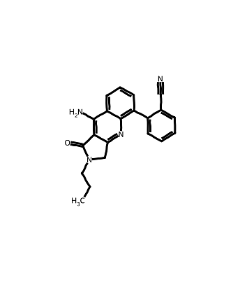 CCCN1Cc2nc3c(-c4ccccc4C#N)cccc3c(N)c2C1=O